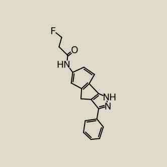 O=C(CCF)Nc1ccc2c(c1)Cc1c(-c3ccccc3)n[nH]c1-2